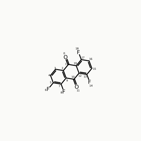 O=C1c2ccc(F)c(F)c2C(=O)c2c(F)ccc(F)c21